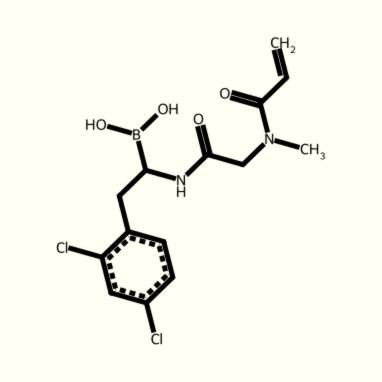 C=CC(=O)N(C)CC(=O)NC(Cc1ccc(Cl)cc1Cl)B(O)O